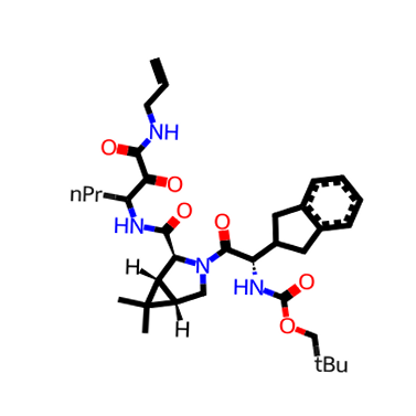 C=CCNC(=O)C(=O)C(CCC)NC(=O)[C@@H]1[C@@H]2[C@H](CN1C(=O)[C@@H](NC(=O)OCC(C)(C)C)C1Cc3ccccc3C1)C2(C)C